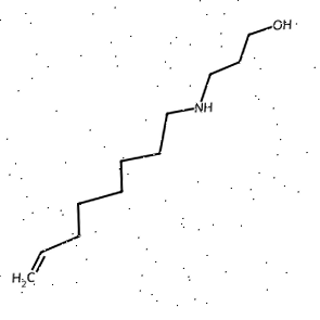 C=CCCCCCCNCCCO